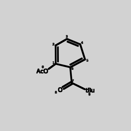 CC(=O)Oc1ccccc1C(=O)C(C)(C)C